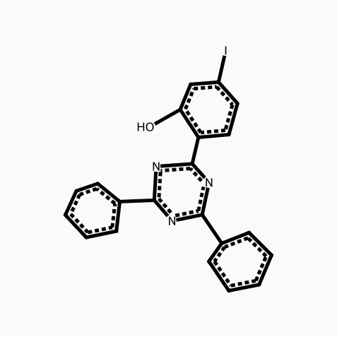 Oc1cc(I)ccc1-c1nc(-c2ccccc2)nc(-c2ccccc2)n1